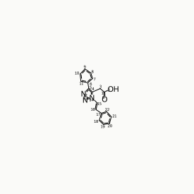 O=C(O)Cc1c(-c2ccccc2)nnn1C=Cc1ccccc1